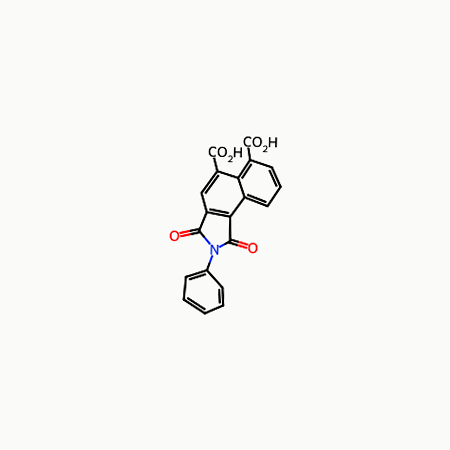 O=C(O)c1cccc2c3c(cc(C(=O)O)c12)C(=O)N(c1ccccc1)C3=O